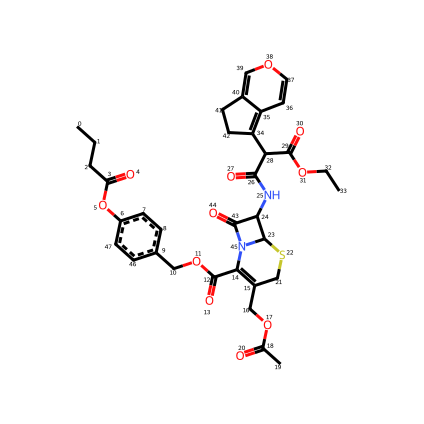 CCCC(=O)Oc1ccc(COC(=O)C2=C(COC(C)=O)CSC3C(NC(=O)C(C(=O)OCC)C4=C5C=COC=C5CC4)C(=O)N23)cc1